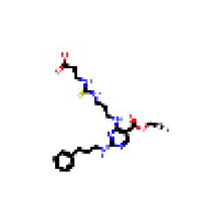 CCOC(=O)c1cnc(NCCCc2ccccc2)nc1NCCCNC(=S)NCCC(=O)O